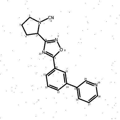 N#CN1CCCC1c1noc(-c2cccc(-c3cccnc3)c2)n1